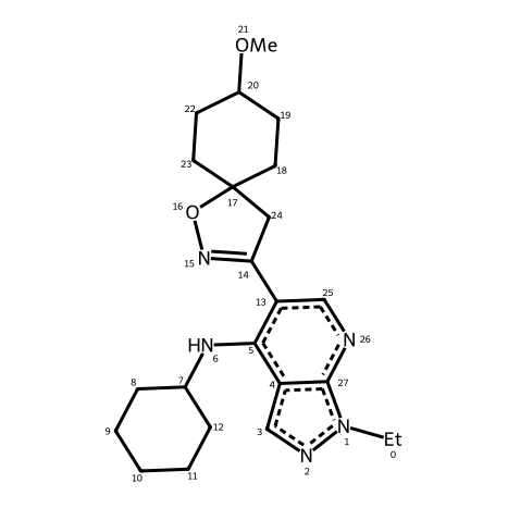 CCn1ncc2c(NC3CCCCC3)c(C3=NOC4(CCC(OC)CC4)C3)cnc21